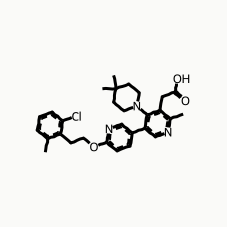 Cc1cccc(Cl)c1CCOc1ccc(-c2cnc(C)c(CC(=O)O)c2N2CCC(C)(C)CC2)cn1